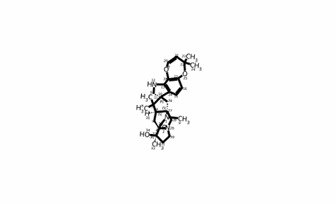 CN1C(=O)[C@]23C[C@H]4C(C)(C)[C@]5(CNc6c5ccc5c6OC=CC(C)(C)O5)C[C@@]41CN2CC[C@@]3(C)O